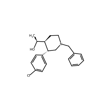 C[C@H](O)[C@H]1CCN(Cc2ccccc2)C[C@@H]1c1ccc(Cl)cc1